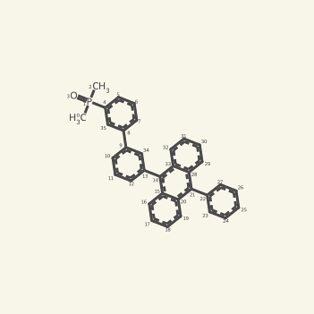 CP(C)(=O)c1cccc(-c2cccc(-c3c4ccccc4c(-c4ccccc4)c4ccccc34)c2)c1